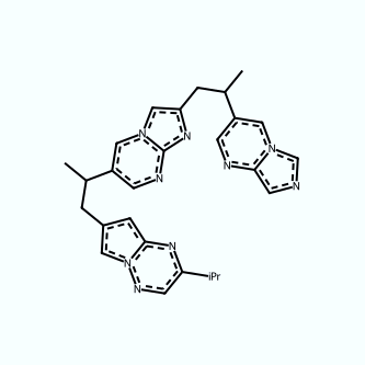 CC(C)c1cnn2cc(CC(C)c3cnc4nc(CC(C)c5cnc6cncn6c5)cn4c3)cc2n1